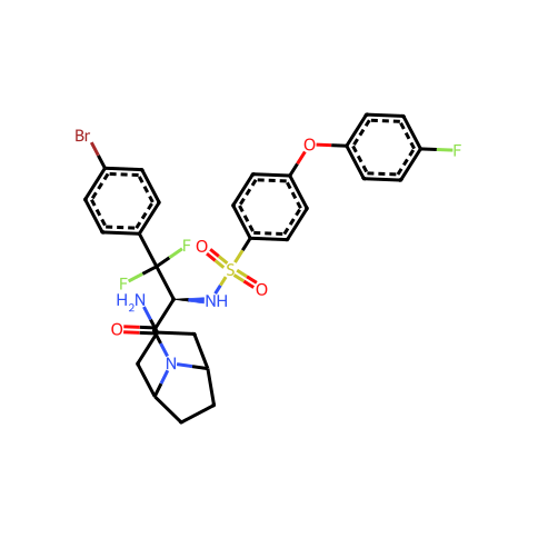 NC1CC2CCC(C1)N2C(=O)[C@H](NS(=O)(=O)c1ccc(Oc2ccc(F)cc2)cc1)C(F)(F)c1ccc(Br)cc1